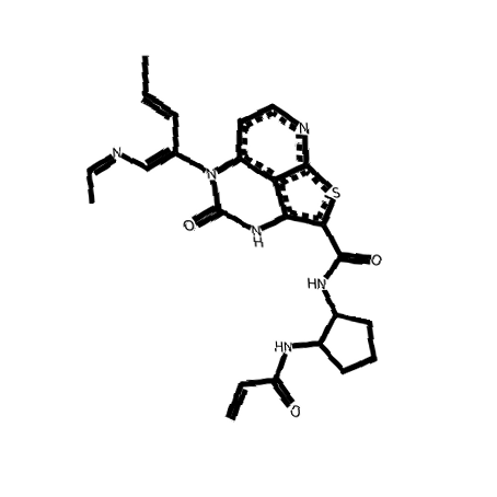 C=CC(=O)NC1CCCC1NC(=O)c1sc2nccc3c2c1NC(=O)N3C(/C=C/C)=C/N=C\C